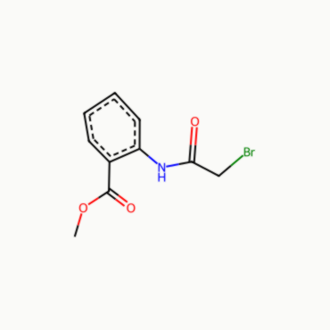 COC(=O)c1ccccc1NC(=O)CBr